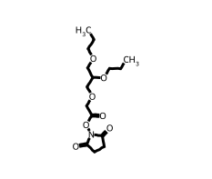 CCCOCC(COCC(=O)ON1C(=O)CCC1=O)OCCC